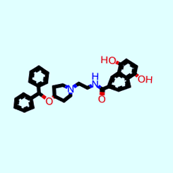 O=C(NCCN1CCC(OC(c2ccccc2)c2ccccc2)CC1)c1ccc2c(O)ccc(O)c2c1